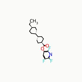 CC[C@H]1CC[C@H]([C@H]2CC[C@H](C(=O)Oc3cc(F)c(F)nc3F)CC2)CC1